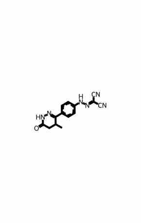 CC1CC(=O)NN=C1c1ccc(NN=C(C#N)C#N)cc1